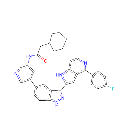 O=C(CC1CCCCC1)Nc1cncc(-c2ccc3[nH]nc(-c4cc5c(-c6ccc(F)cc6)nccc5[nH]4)c3c2)c1